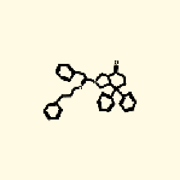 O=C1CCC(c2ccccc2)(c2ccccc2)C2CN(C(Cc3ccccc3)=NCCCc3ccccc3)CC12